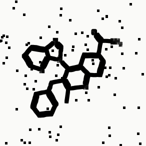 Cc1nc2ccc(C(N)=O)cc2c(-n2cnc3cccnc32)c1Cc1ccccc1